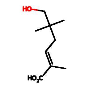 CC(=CCC(C)(C)CO)C(=O)O